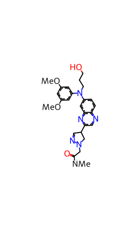 CNC(=O)CN1CC(c2cnc3ccc(N(CCCO)c4cc(OC)cc(OC)c4)cc3n2)C=N1